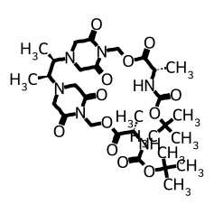 C[C@H](NC(=O)OC(C)(C)C)C(=O)OCN1C(=O)CN([C@H](C)[C@H](C)N2CC(=O)N(COC(=O)[C@H](C)NC(=O)OC(C)(C)C)C(=O)C2)CC1=O